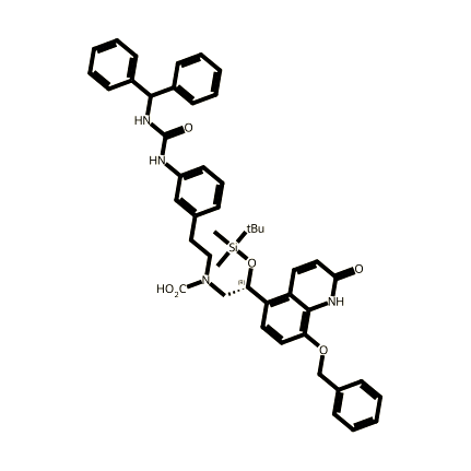 CC(C)(C)[Si](C)(C)O[C@@H](CN(CCc1cccc(NC(=O)NC(c2ccccc2)c2ccccc2)c1)C(=O)O)c1ccc(OCc2ccccc2)c2[nH]c(=O)ccc12